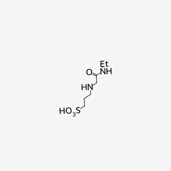 CCNC(=O)CNCCCS(=O)(=O)O